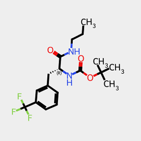 CCCNC(=O)[C@@H](Cc1cccc(C(F)(F)F)c1)NC(=O)OC(C)(C)C